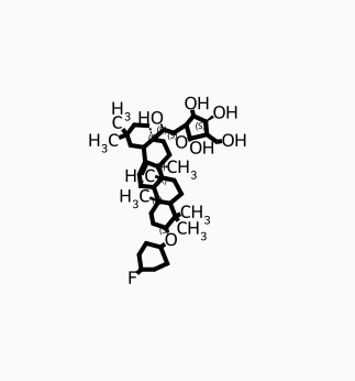 CC1(C)CC[C@]2([C@H](O)[C@H]3OC4(O)C(CO)[C@H](O)C(O)C34)CC[C@]3(C)C(=CCC4[C@@]5(C)CC[C@H](OC6CCC(F)CC6)C(C)(C)C5CC[C@]43C)C2C1